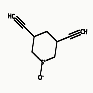 C#CC1CC(C#C)C[S+]([O-])C1